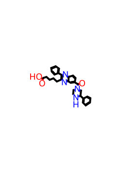 O=C(O)CCCCc1nc2cc(C(=O)N3CCNC(c4ccccc4)C3)ccc2nc1-c1ccccc1